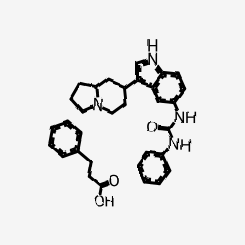 O=C(Nc1ccccc1)Nc1ccc2[nH]cc(C3CCN4CCCC4C3)c2c1.O=C(O)CCc1ccccc1